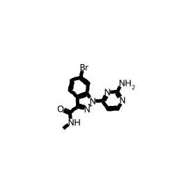 CNC(=O)c1nn(-c2ccnc(N)n2)c2cc(Br)ccc12